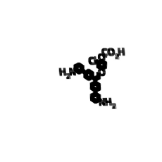 Nc1cccc(-c2ccc(C(=CCOc3ccc(OCC(=O)O)c(Cl)c3)c3ccc(-c4cccc(N)c4)cc3)cc2)c1